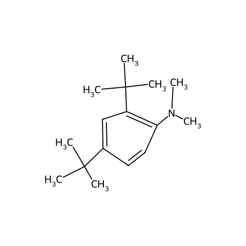 CN(C)c1ccc(C(C)(C)C)cc1C(C)(C)C